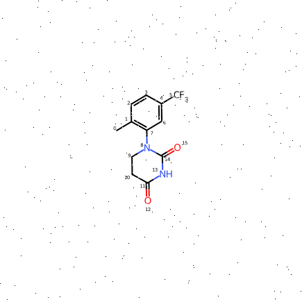 Cc1ccc(C(F)(F)F)cc1N1CCC(=O)NC1=O